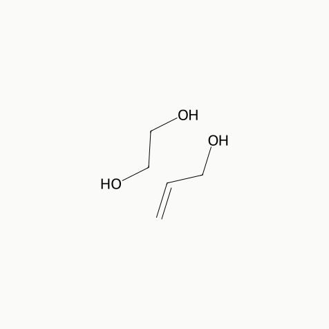 C=CCO.OCCO